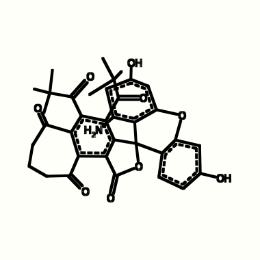 CC(C)(C)C(=O)c1c2c(c3c(c1C(=O)C(C)(C)C)C1(OC3=O)c3ccc(O)cc3Oc3cc(O)cc(N)c31)C(=O)CCCC2=O